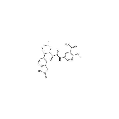 COc1ncc(NC(=O)C(=O)N2C[C@@H](C)CC[C@@H]2c2ccc3c(c2)CC(=O)N3)cc1C(N)=O